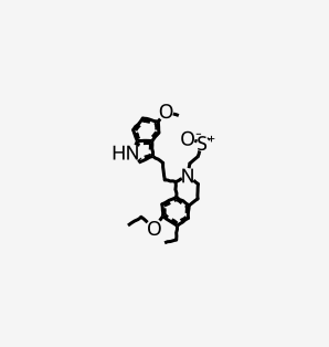 CCOc1cc2c(cc1CC)CCN(CC[S+](C)[O-])C2CCc1c[nH]c2ccc(OC)cc12